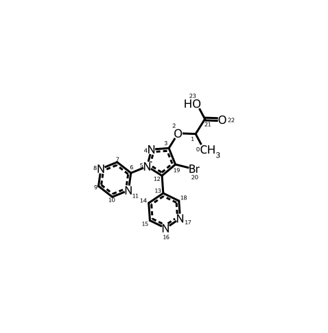 CC(Oc1nn(-c2cnccn2)c(-c2ccnnc2)c1Br)C(=O)O